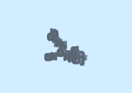 CC1CN(C(=O)OC(C)(C)C)CCN1c1cc(OCCN2CCOCC2)c(-c2cnc(N)c(O[C@H](C)c3c(Cl)ccc(F)c3Cl)c2)cn1